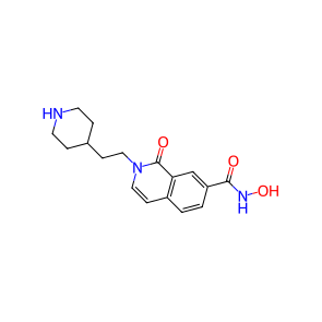 O=C(NO)c1ccc2ccn(CCC3CCNCC3)c(=O)c2c1